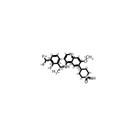 COc1cc2nccc(N[C@H](C)c3cccc(C(F)F)c3F)c2cc1C1CCS(=N)(=O)CC1